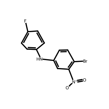 O=[N+]([O-])c1cc(Nc2ccc(F)cc2)ccc1Br